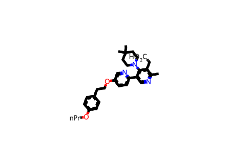 CCCOc1ccc(CCOc2ccc(-c3cnc(C)c(CC(=O)O)c3N3CCC(C)(C)CC3)nc2)cc1